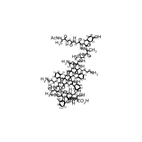 CC(=O)N[C@H](C)C(=O)NCC(=O)NCC(=O)N[C@@H](Cc1ccc(O)cc1)C(=O)N[C@@H](C)C(=O)NCC(=O)N[C@@H](CS)C(=O)N[C@@H](CCCCN)C(=O)N[C@@H](CC(N)=O)C(=O)N[C@@H](Cc1ccccc1)C(=O)N[C@@H](Cc1ccccc1)C(=O)N[C@@H](Cc1c[nH]c2ccccc12)C(=O)N[C@@H](CCCCN)C(=O)N[C@H](C(=O)N[C@@H](Cc1ccccc1)C(=O)N[C@H](C(=O)N[C@@H](CO)C(=O)N[C@@H](CS)C(=O)O)C(C)O)C(C)O